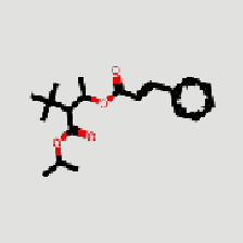 CC(C)OC(=O)C(C(C)OC(=O)C=Cc1ccccc1)C(C)(C)C